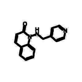 O=c1ccc2ccccc2n1NCc1ccncc1